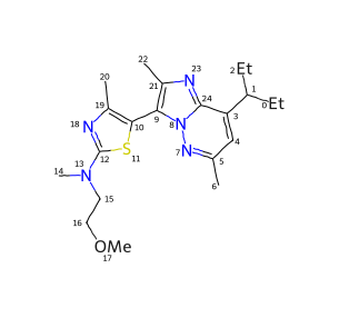 CCC(CC)c1cc(C)nn2c(-c3sc(N(C)CCOC)nc3C)c(C)nc12